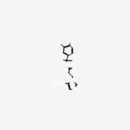 CC(C)(NC(=O)CCn1cncc1C=O)c1ccc(Cl)c(Cl)c1